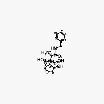 NC(C(=O)NCc1ccccn1)C1C(O)C2(O)COC(C2O)N1O